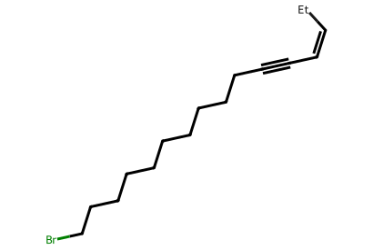 CC/C=C\C#CCCCCCCCCCCBr